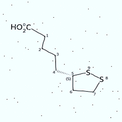 O=C(O)CCCC[C@H]1CCSS1